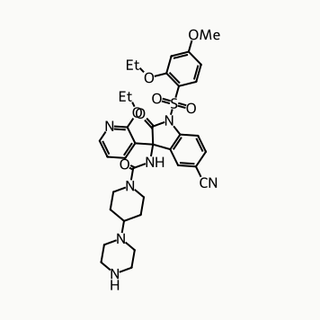 CCOc1cc(OC)ccc1S(=O)(=O)N1C(=O)C(NC(=O)N2CCC(N3CCNCC3)CC2)(c2cccnc2OCC)c2cc(C#N)ccc21